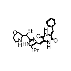 CCC(c1nc(C=c2[nH]c(=O)c(=Cc3ccccc3)[nH]c2=O)c(C(C)C)[nH]1)C1COCCN1